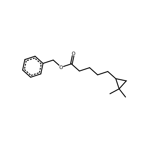 CC1(C)CC1CCCCC(=O)OCc1ccccc1